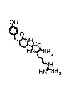 N=C(N)NCCC[C@H](NC(=O)[C@H]1CC[C@H](Cc2ccc(O)cc2)C(=O)N1)C(N)=O